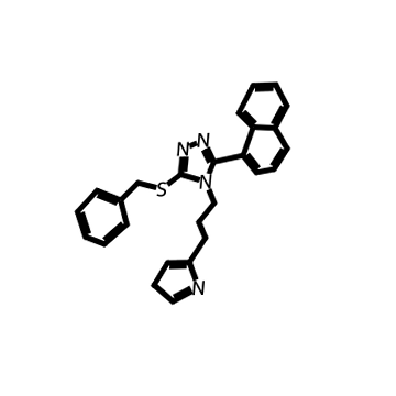 C1=NC(CCCn2c(SCc3ccccc3)nnc2-c2cccc3ccccc23)=CC1